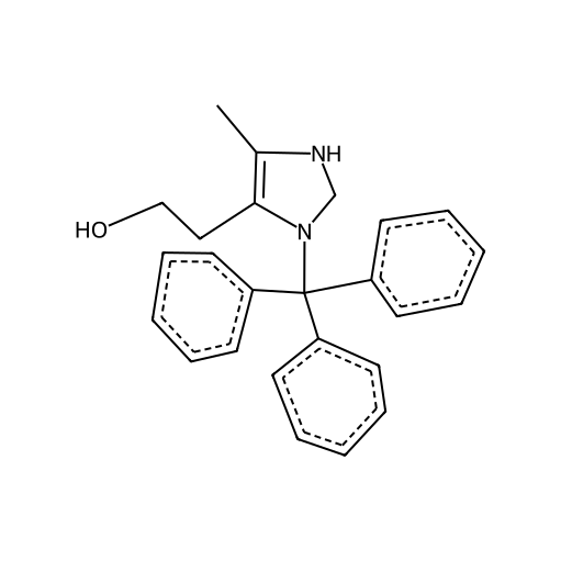 CC1=C(CCO)N(C(c2ccccc2)(c2ccccc2)c2ccccc2)CN1